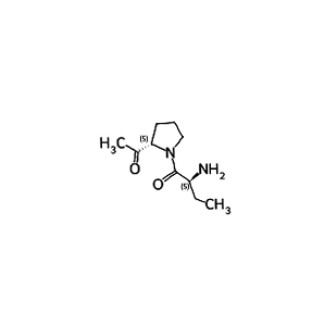 CC[C@H](N)C(=O)N1CCC[C@H]1C(C)=O